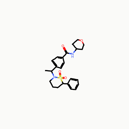 CC(c1ccc(C(=O)NC2CCOCC2)cc1)N1CCCC(c2ccccc2)S1(=O)=O